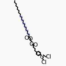 CCCCCCCCC/C=C/C=C/C=C/C=C/C=C/C=C/C(=O)OCCOC(=O)CCCc1ccc(N(CCCl)CCCl)cc1